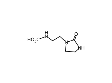 O=C(O)NCCN1CCNC1=O